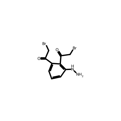 NNc1cccc(C(=O)CBr)c1C(=O)CBr